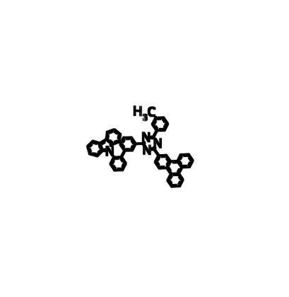 Cc1cccc(-c2nc(-c3cccc(-c4ccccc4-n4c5ccccc5c5ccccc54)c3)nc(-c3ccc4c5ccccc5c5ccccc5c4c3)n2)c1